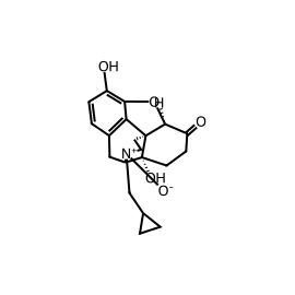 O=C1CC[C@@]2(O)C3Cc4ccc(O)c5c4[C@@]2(CC[N+]3([O-])CC2CC2)[C@H]1O5